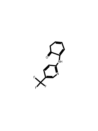 O=C1CC=CC=C1Nc1ccc(C(F)(F)F)cn1